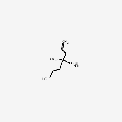 C=CCC(CCC(=O)O)(C(=O)OCC)C(=O)OCC.Cl